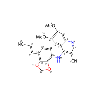 COc1cc2ncc(C#N)c(Nc3ccc(C=CC#N)c4c3OCO4)c2cc1OC